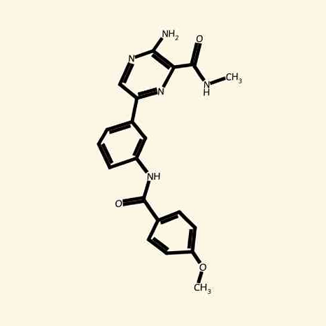 CNC(=O)c1nc(-c2cccc(NC(=O)c3ccc(OC)cc3)c2)cnc1N